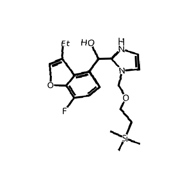 CCc1coc2c(F)ccc(C(O)C3NC=CN3COCC[Si](C)(C)C)c12